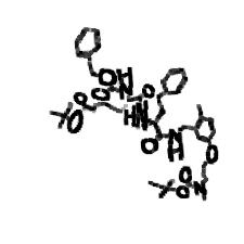 Cc1ccc(OCCN(C)C(=O)OC(C)(C)C)cc1CNC(=O)[C@H](CCc1ccccc1)NC(=O)[C@H](CCCC(=O)OC(C)(C)C)NC(=O)OCc1ccccc1